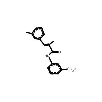 C/C(=C\c1cccc(C)c1)C(=O)Nc1cccc(C(=O)O)c1